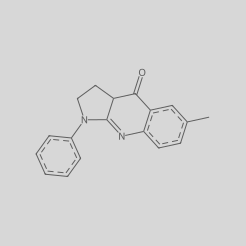 Cc1ccc2c(c1)C(=O)C1CCN(c3ccccc3)C1=N2